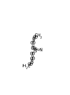 C=CC(=O)OCOc1ccc(OC(=O)C2CCC(C(=O)OCCc3ccc(OC(=O)C4CCC(C(=O)Oc5ccc(OCOC(=O)C=C)cc5)CC4)c4nc(-c5ccc(C#N)cc5)sc34)CC2)cc1